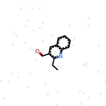 CCc1nc2ccccc2cc1C=O